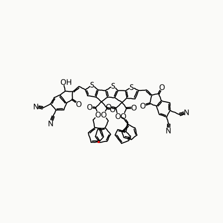 N#Cc1cc2c(cc1C#N)C(=O)C(=Cc1cc3c(s1)-c1sc4c(c1C3(C(=O)OCc1ccccc1)C(=O)OCc1ccccc1)C(C(=O)OCc1ccccc1)(C(=O)OCc1ccccc1)c1cc(/C=C3\C(=O)c5cc(C#N)c(C#N)cc5C3O)sc1-4)C2=O